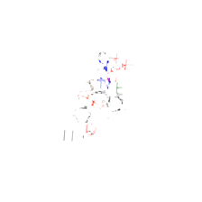 COc1cccc(S(=O)(=O)c2sc(CN(C)C(=O)O)nc2-c2ccccc2F)c1